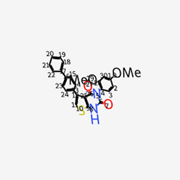 COc1ccc(-n2c(=O)[nH]c3scc(-c4ccc(-c5ccccc5)cc4)c3c2=O)c(OC)c1